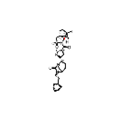 CC1(C)[C@@H]2CC[C@]13CS(=O)(=O)N(C(=O)[C@H]1CC([C@@H]4CCC5CN4C(=O)N5OCc4ccccc4)=NO1)[C@@H]3C2